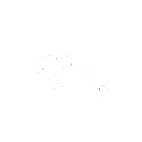 CC(=O)C1(C(=O)Nc2ccc3c(c2)c(-c2ccc(F)cc2)nn3C)CCN(CC(=O)N2CCN(c3ccc(-c4ncccn4)cn3)C[C@H]2C)C1